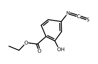 CCOC(=O)c1ccc(N=C=S)cc1O